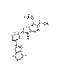 COc1ccc(C(=O)Nc2cccc(-c3cc4cccnc4o3)c2)cc1OC